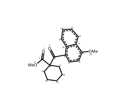 COC(=O)C1(C(=O)c2ccc(OC)c3ccccc23)CCCCC1